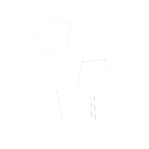 C1=CC(C2CCCC2)c2ccccc21